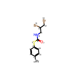 CC(C)c1ccc(SC(=O)NCC(Br)CBr)cc1